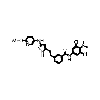 COc1ccc(Nc2cc(CCc3cccc(C(=O)Nc4cc(Cl)c(N(C)C)c(Cl)c4)c3)[nH]n2)cn1